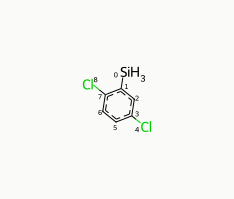 [SiH3]c1cc(Cl)ccc1Cl